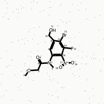 COCC(=O)N(C)c1cc(CO)c(Br)c(F)c1[N+](=O)[O-]